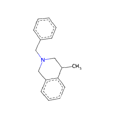 CC1CN(Cc2ccccc2)Cc2ccccc21